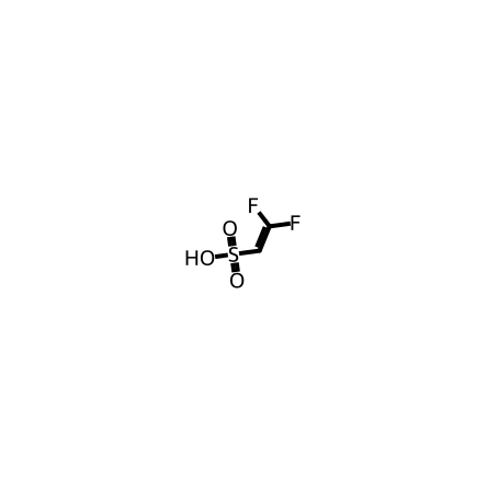 O=S(=O)(O)C=C(F)F